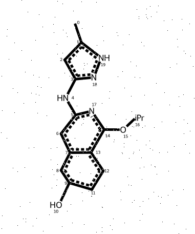 Cc1cc(Nc2cc3cc(O)ccc3c(OC(C)C)n2)n[nH]1